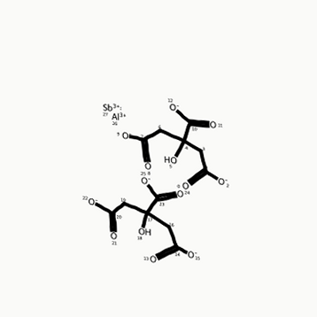 O=C([O-])CC(O)(CC(=O)[O-])C(=O)[O-].O=C([O-])CC(O)(CC(=O)[O-])C(=O)[O-].[Al+3].[Sb+3]